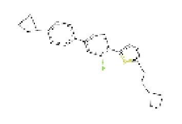 Fc1cc(-c2ccc(C3CCC3)cc2)ccc1-c1ccc(CCC2CCC2)s1